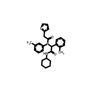 Cc1ccccc1C(C(=O)NC1CCCCC1)N(C(=O)Cc1cccs1)c1cccc(C(F)(F)F)c1